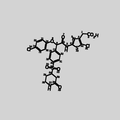 O=C(O)Cc1nc(NC(=O)C(Oc2ccc(Cl)cc2)c2ccc(S(=O)(=O)C3CCNC(=O)C3)cc2)sc1Cl